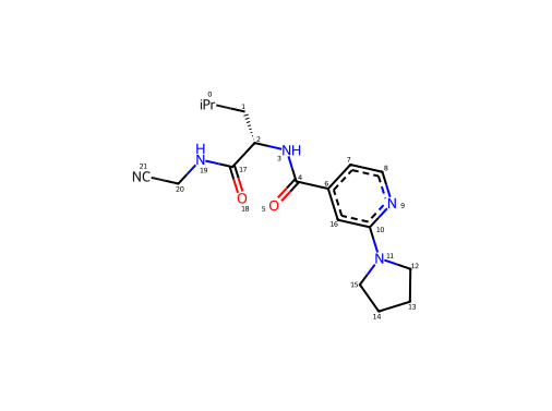 CC(C)C[C@H](NC(=O)c1ccnc(N2CCCC2)c1)C(=O)NCC#N